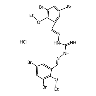 CCOc1c(Br)cc(Br)cc1C=NNC(=N)NN=Cc1cc(Br)cc(Br)c1OCC.Cl